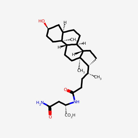 C[C@H](CCC(=O)N[C@@H](CC(N)=O)C(=O)O)[C@H]1CC[C@H]2[C@@H]3CC[C@@H]4C[C@H](O)CC[C@]4(C)[C@H]3CC[C@]12C